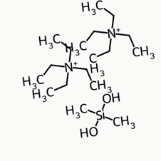 CC[N+](CC)(CC)CC.CC[N+](CC)(CC)CC.C[Si](C)(O)O